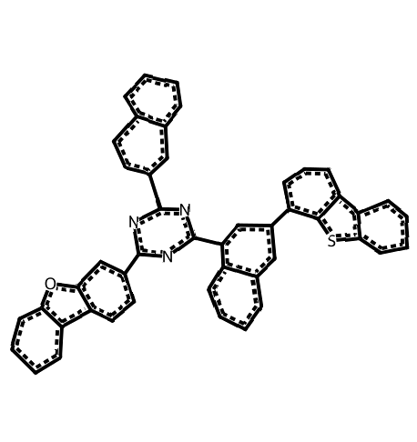 c1ccc2cc(-c3nc(-c4ccc5c(c4)oc4ccccc45)nc(-c4cc(-c5cccc6c5sc5ccccc56)cc5ccccc45)n3)ccc2c1